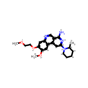 COCCOc1cc2ncc3c(N)nc(N4CCCCC4C)cc3c2cc1OC